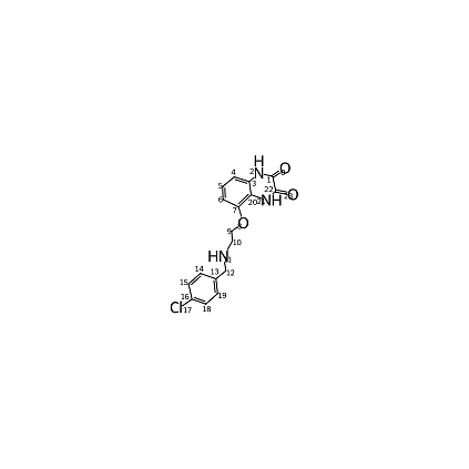 O=c1[nH]c2cccc(OCCNCc3ccc(Cl)cc3)c2[nH]c1=O